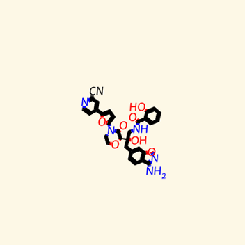 N#Cc1cc(-c2ccc(N3CCO[C@H](C(O)(CNC(=O)c4ccccc4O)Cc4ccc5c(N)noc5c4)C3=O)o2)ccn1